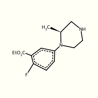 CCOC(=O)c1cc(N2CCNC[C@@H]2C)ccc1F